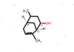 CC1=CC[C@@H]2C[C@H]1[C@H](O)CC2C